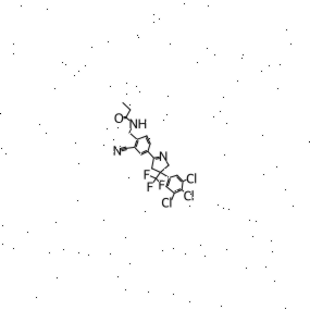 CCC(=O)NCc1ccc(C2=NCC(c3cc(Cl)c(Cl)c(Cl)c3)(C(F)(F)F)C2)cc1C#N